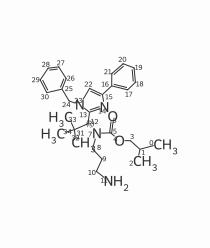 CC(C)COC(=O)N(CCCN)[C@@H](c1nc(-c2ccccc2)cn1Cc1ccccc1)C(C)(C)C